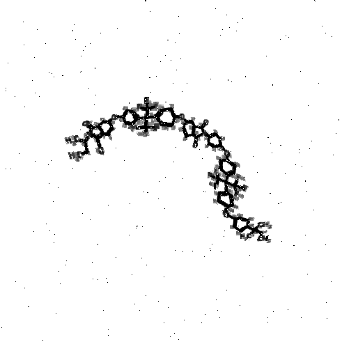 CCC(C)N1C(=O)c2ccc(Oc3ccc(C(c4ccc(Oc5ccc6c(c5)C(=O)N(c5ccc(Oc7ccc(C(c8ccc(Oc9ccc(C(C)(C)CC)cc9)cc8)(C(F)(F)F)C(F)(F)F)cc7)cc5)C6=O)cc4)(C(F)(F)F)C(F)(F)F)cc3)cc2C1=O